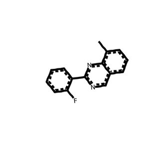 Cc1cccc2cnc(-c3ccccc3F)nc12